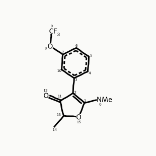 CNC1=C(c2cccc(OC(F)(F)F)c2)C(=O)C(C)O1